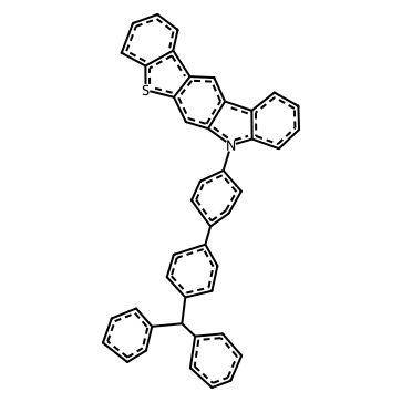 c1ccc(C(c2ccccc2)c2ccc(-c3ccc(-n4c5ccccc5c5cc6c(cc54)sc4ccccc46)cc3)cc2)cc1